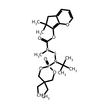 CCC1(CC)COP(=O)(N(SN(C)C(=O)OC2=C3OC=CC=C3CC2(C)C)C(C)(C)C)OC1